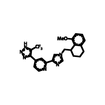 COc1cccc2c1C(Cn1cnc(-c3cc(-c4nn[nH]c4C(F)(F)F)ccn3)c1)CCC2